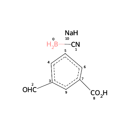 BC#N.O=Cc1cccc(C(=O)O)c1.[NaH]